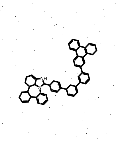 C1=CC(C2=CCC(C3NC4=CCCC5C6CCC=CC6c6ccccc6N3C45)C=C2)CC(c2cccc(-c3ccc4c(c3)c3c(c5ccccc54)C=CCC3)c2)=C1